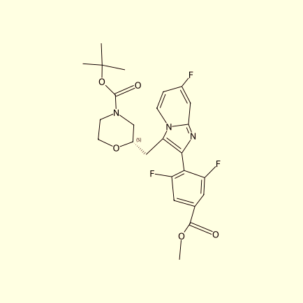 COC(=O)c1cc(F)c(-c2nc3cc(F)ccn3c2C[C@H]2CN(C(=O)OC(C)(C)C)CCO2)c(F)c1